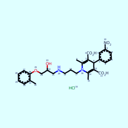 CC1=C(C(=O)O)C(c2cccc([N+](=O)[O-])c2)C(C(=O)O)=C(C)N1CCCNCC(O)COc1ccccc1C.Cl